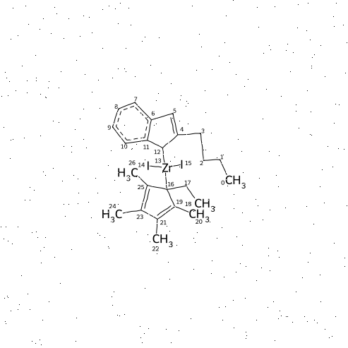 CCCCC1=Cc2ccccc2[CH]1[Zr]([I])([I])[C]1(CC)C(C)=C(C)C(C)=C1C